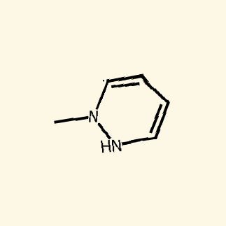 CN1[C]=CC=CN1